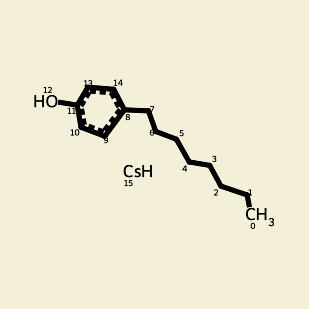 CCCCCCCCc1ccc(O)cc1.[CsH]